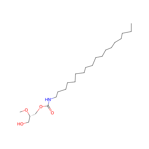 CCCCCCCCCCCCCCCCCCNC(=O)OC[C@H](CO)OC